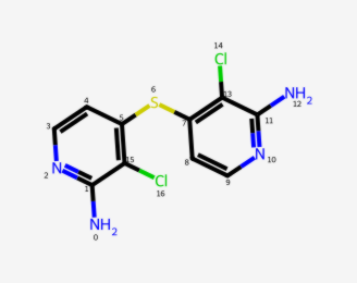 Nc1nccc(Sc2ccnc(N)c2Cl)c1Cl